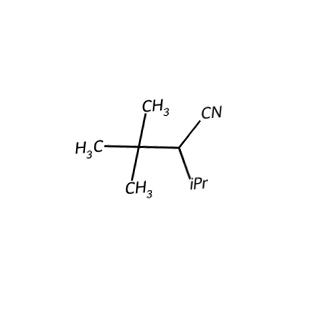 CC(C)C(C#N)C(C)(C)C